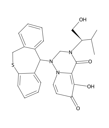 CC(C)[C@H](CO)N1CN(C2c3ccccc3CSc3ccccc32)n2ccc(=O)c(O)c2C1=O